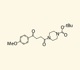 COc1ccc(C(=O)CCC(=O)N2CCN(C(=O)OC(C)(C)C)CC2)cc1